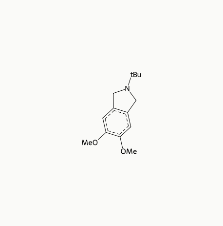 COc1cc2c(cc1OC)CN(C(C)(C)C)C2